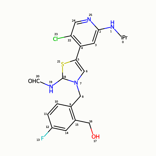 CC(C)Nc1cc(C2=CN(Cc3ccc(F)cc3CO)C(NC=O)S2)c(Cl)cn1